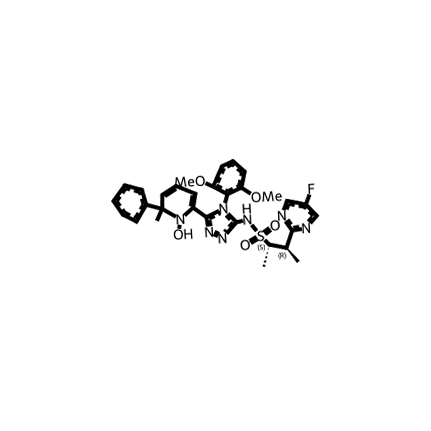 COc1cccc(OC)c1-n1c(NS(=O)(=O)[C@@H](C)[C@H](C)c2ncc(F)cn2)nnc1C1=CC=CC(C)(c2ccccc2)N1O